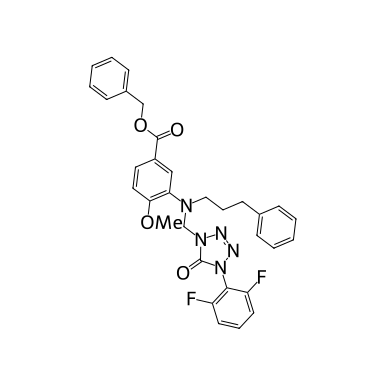 COc1ccc(C(=O)OCc2ccccc2)cc1N(CCCc1ccccc1)Cn1nnn(-c2c(F)cccc2F)c1=O